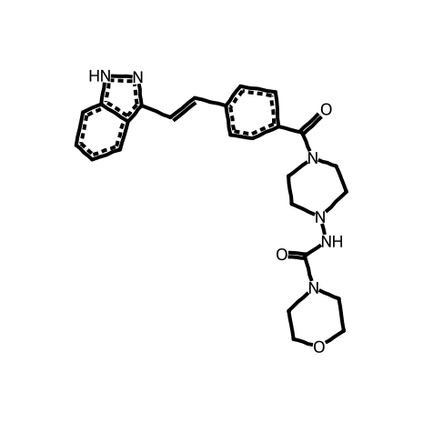 O=C(NN1CCN(C(=O)c2ccc(/C=C/c3n[nH]c4ccccc34)cc2)CC1)N1CCOCC1